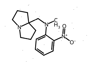 CN(CC12CCCN1CCC2)c1ccccc1[N+](=O)[O-]